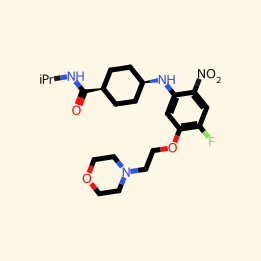 CC(C)NC(=O)[C@H]1CC[C@@H](Nc2cc(OCCN3CCOCC3)c(F)cc2[N+](=O)[O-])CC1